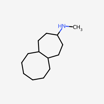 CNC1CCC2CCCCCCC2CC1